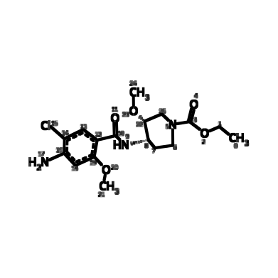 CCOC(=O)N1CC[C@H](NC(=O)c2cc(Cl)c(N)cc2OC)[C@H](OC)C1